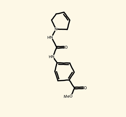 COC(=O)c1ccc(NC(=O)NN2CC=CCC2)cc1